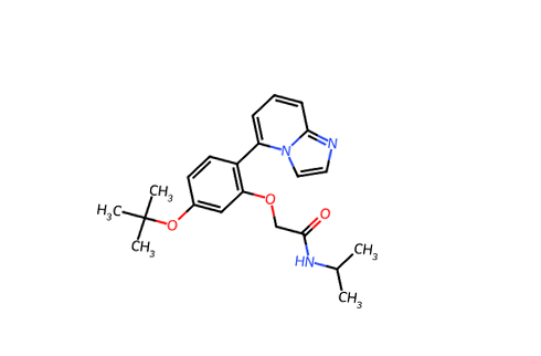 CC(C)NC(=O)COc1cc(OC(C)(C)C)ccc1-c1cccc2nccn12